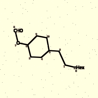 CCCCCCCCC1CCC(OC=O)CC1